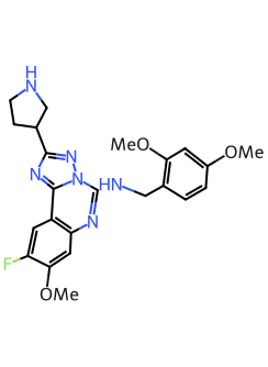 COc1ccc(CNc2nc3cc(OC)c(F)cc3c3nc(C4CCNC4)nn23)c(OC)c1